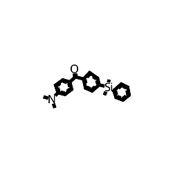 CN(C)c1ccc(C(=O)c2ccc([Si](C)(C)c3ccccc3)cc2)cc1